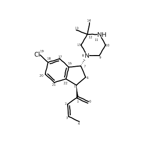 C=C(/C=C\C)[C@@H]1C[C@@H](N2CCNC(C)(C)C2)c2cc(Cl)ccc21